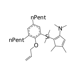 C=CCOc1c(CCCCC)cc(CCCCC)cc1[Si](C)(C)C1=C(N(C)C)C=C(C)C1C